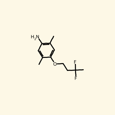 Cc1cc(OCCC(C)(F)F)c(C)cc1N